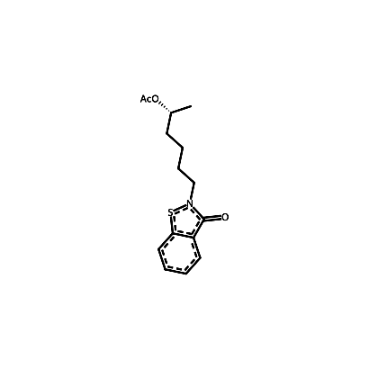 CC(=O)O[C@H](C)CCCCn1sc2ccccc2c1=O